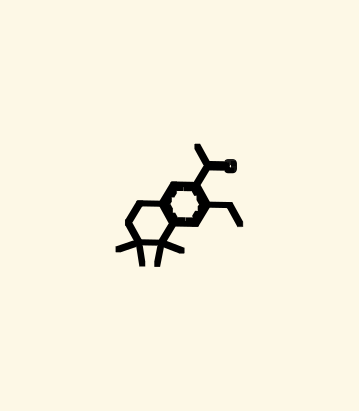 CCc1cc2c(cc1C(C)=O)CCC(C)(C)C2(C)C